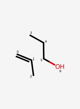 C=[C]C.CCCO